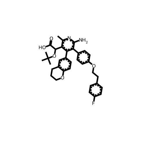 Cc1nc(N)c(-c2ccc(OCCc3ccc(F)cc3)cc2)c(-c2ccc3c(c2)CCCO3)c1C(OC(C)(C)C)C(=O)O